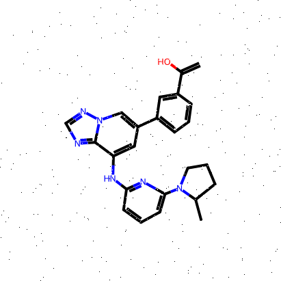 C=C(O)c1cccc(-c2cc(Nc3cccc(N4CCCC4C)n3)c3ncnn3c2)c1